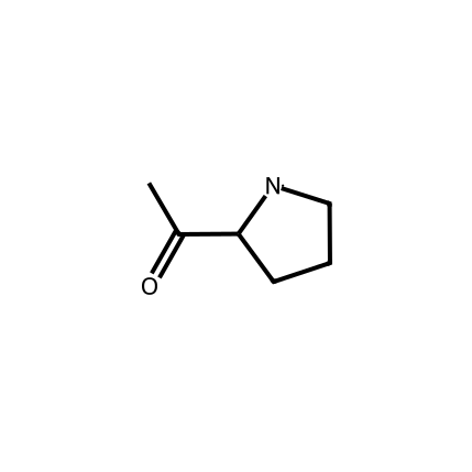 CC(=O)C1CCC[N]1